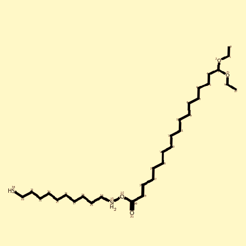 CCOC(CCCCCCCCCCCCCCCCC(=O)O[SiH2]CCCCCCCCCCS)OCC